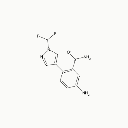 Nc1ccc(-c2cnn(C(F)F)c2)c([S+](N)[O-])c1